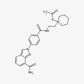 NC(=O)c1cccc2cn(-c3ccc(C(=O)NCC[N+]4(OC(=O)C(F)(F)F)CCCCC4)cc3)nc12